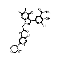 Cc1nc2c(c(-c3cc(Cl)c(O)c(C(N)=O)c3)cn2CC(=O)Nc2cc(N3CCOC[C@@H]3C)ncc2Cl)c(=O)n1C